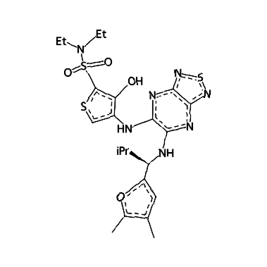 CCN(CC)S(=O)(=O)c1scc(Nc2nc3nsnc3nc2N[C@@H](c2cc(C)c(C)o2)C(C)C)c1O